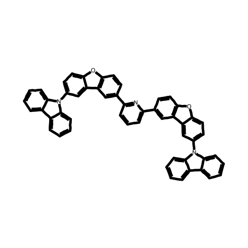 c1cc(-c2ccc3oc4ccc(-n5c6ccccc6c6ccccc65)cc4c3c2)nc(-c2ccc3oc4ccc(-n5c6ccccc6c6ccccc65)cc4c3c2)c1